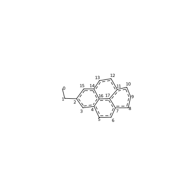 CCc1cc2ccc3cccc4ccc(c1)c2c34